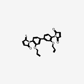 C=CCOc1cc(-c2ccc(N3C(=O)C=CC3=S)c(OCC=C)c2)ccc1N1C(=O)C=CC1=O